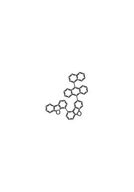 c1ccc2c(-c3c4ccccc4c(-c4ccc5oc6cccc(-c7cccc8c7oc7ccccc78)c6c5c4)c4ccccc34)cccc2c1